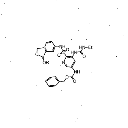 CCNC(=O)Nc1cc(NC(=O)OCc2ccccc2)cnc1S(=O)(=O)Nc1ccc2c(c1)B(O)OC2